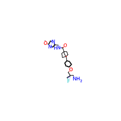 COc1cnc(CNC(=O)C23CCC(c4ccc(OC/C(=C/F)CN)cc4)(CC2)CC3)cn1